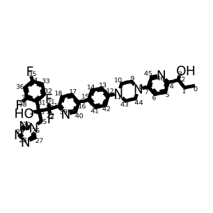 CCC(O)c1ccc(N2CCN(c3ccc(-c4ccc(C(F)(F)C(O)(Cn5cnnn5)c5ccc(F)cc5F)nc4)cc3)CC2)cn1